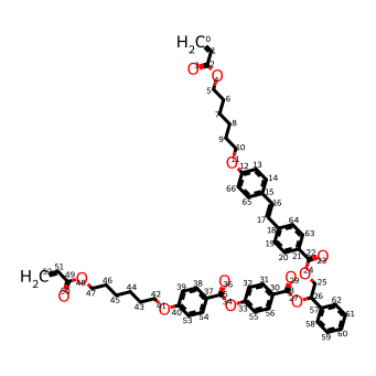 C=CC(=O)OCCCCCCOc1ccc(/C=C/c2ccc(C(=O)OCC(OC(=O)c3ccc(OC(=O)c4ccc(OCCCCCCOC(=O)C=C)cc4)cc3)c3ccccc3)cc2)cc1